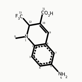 CN1c2ccc(N)cc2C=C(C(=O)O)C1C(F)(F)F